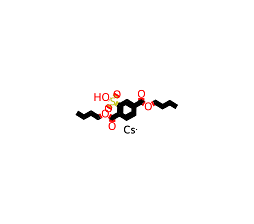 CCCCOC(=O)c1ccc(C(=O)OCCCC)c(S(=O)(=O)O)c1.[Cs]